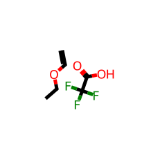 C=COCC.O=C(O)C(F)(F)F